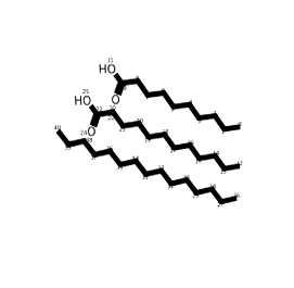 CCCCCCCCCC(=O)O.CCCCCCCCCCCC(=O)O.CCCCCCCCCCCCCCC